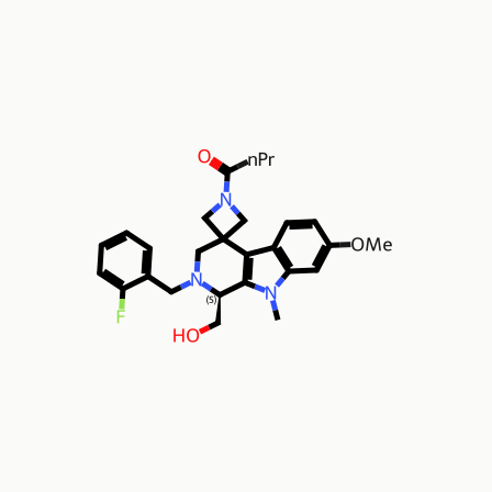 CCCC(=O)N1CC2(C1)CN(Cc1ccccc1F)[C@H](CO)c1c2c2ccc(OC)cc2n1C